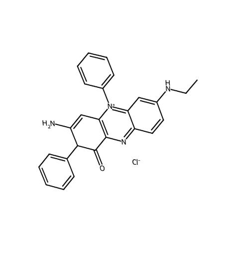 CCNc1ccc2nc3c([n+](-c4ccccc4)c2c1)C=C(N)C(c1ccccc1)C3=O.[Cl-]